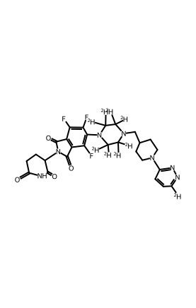 [2H]c1ccc(N2CCC(CN3C([2H])([2H])C([2H])([2H])N(c4c(F)c(F)c5c(c4F)C(=O)N(C4CCC(=O)NC4=O)C5=O)C([2H])([2H])C3([2H])[2H])CC2)nn1